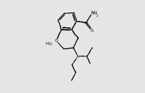 CCCN(C(C)C)C1COc2cccc(C(N)=O)c2C1.Cl